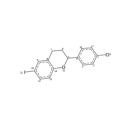 Clc1ccc(C2CCc3cc(I)ccc3O2)cc1